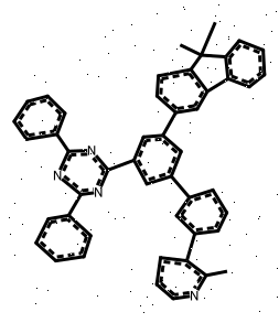 Cc1ncccc1-c1cccc(-c2cc(-c3ccc4c(c3)-c3ccccc3C4(C)C)cc(-c3nc(-c4ccccc4)nc(-c4ccccc4)n3)c2)c1